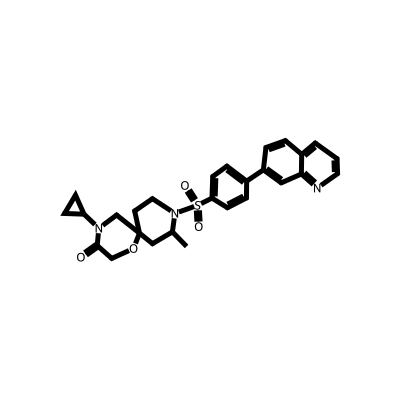 CC1CC2(CCN1S(=O)(=O)c1ccc(-c3ccc4cccnc4c3)cc1)CN(C1CC1)C(=O)CO2